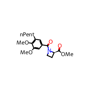 CCCCCc1cc(C(=O)N2CC[C@@H]2C(=O)OC)cc(OC)c1OC